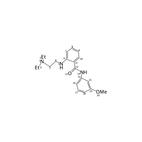 CCN(CC)CCNc1ccccc1C(=O)Nc1cccc(OC)c1